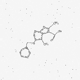 Cc1oc2ccc(OCc3ccccc3)c(C)c2c1C(=O)O